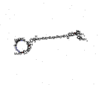 CO[C@H]1C[C@@H]2CCCC(O2)C(=O)C(=O)N2CCCC[C@H]2C(O)O[C@H](CCC2CCC(OC(=S)NCCOCCOCCOCCOCCOCCOCCOCCOCCC(=O)N3CCc4cc(Cn5nc(-c6ccc7oc(N)nc7c6)c6c(N)ncnc65)ccc4C3)CC2)CC[C@H](C)/C=C(\C)[C@@H](O)[C@@H](O)C(=O)[C@H](C)C[C@H](C)/C=C/C=C/C=C/1C